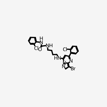 O=C(NCCCCNc1cc(-c2ccccc2Cl)nc2c(Br)cnn12)Nc1ccccc1Cl